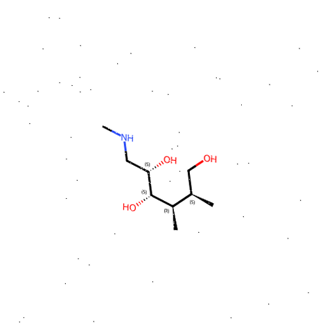 CNC[C@H](O)[C@@H](O)[C@H](C)[C@H](C)CO